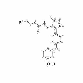 CC(C)CCOC(=O)NCc1c(-c2ccc(O[C@H]3CCC[C@H](C(=O)O)C3)cc2)nnn1C